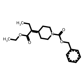 CCOC(=O)C(CC)=C1CCN(C(=O)OCc2ccccc2)CC1